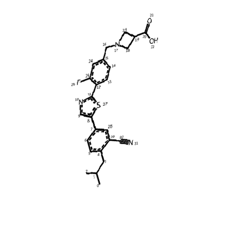 CC(C)Cc1ccc(-c2cnc(-c3ccc(CN4CC(C(=O)O)C4)cc3F)s2)cc1C#N